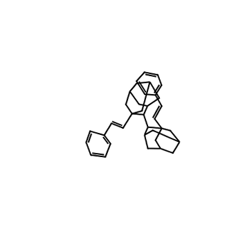 C(=C\C12CC3CC(CC(C3)C1C1C3CC4CC(C3)CC1(/C=C/c1ccccc1)C4)C2)/c1ccccc1